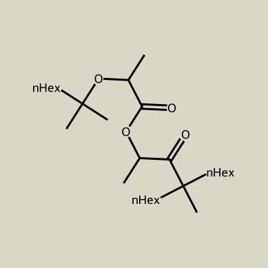 CCCCCCC(C)(C)OC(C)C(=O)OC(C)C(=O)C(C)(CCCCCC)CCCCCC